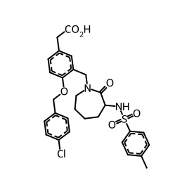 Cc1ccc(S(=O)(=O)NC2CCCCN(Cc3cc(CC(=O)O)ccc3OCc3ccc(Cl)cc3)C2=O)cc1